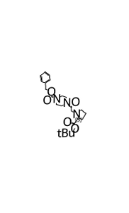 CC(C)(C)OC(=O)[C@@H]1CCCN1CC(=O)N1CCN(C(=O)OCc2ccccc2)CC1